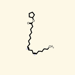 CCCCC/C=C\C/C=C\CCCCCCCC(=O)OC1CCCC1